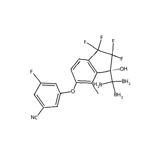 BC(B)(B)[C@@]1(O)c2c(ccc(Oc3cc(F)cc(C#N)c3)c2C)C(F)(F)C1(F)F